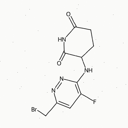 O=C1CCC(Nc2nnc(CBr)cc2F)C(=O)N1